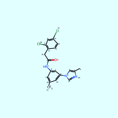 Cc1cn(-c2cc(NC(=O)Cc3ccc(Cl)cc3Cl)cc(C(F)(F)F)c2)cn1